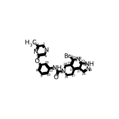 Cc1cncc(Oc2cccc(NC(=O)N3CCc4c(c(Br)nc5[nH]ncc45)C3)c2)n1